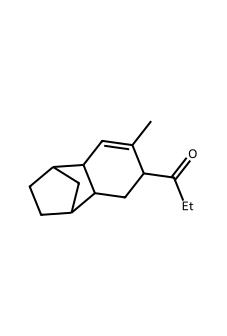 CCC(=O)C1CC2C3CCC(C3)C2C=C1C